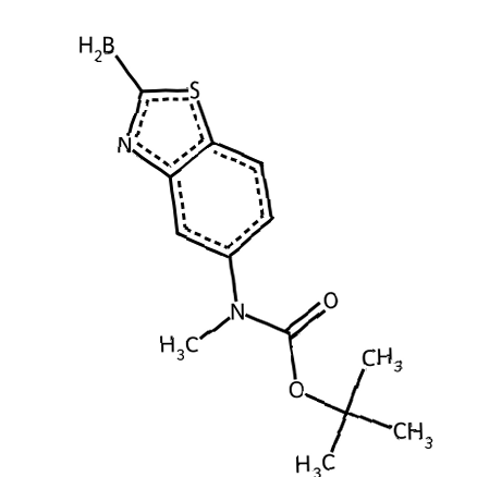 Bc1nc2cc(N(C)C(=O)OC(C)(C)C)ccc2s1